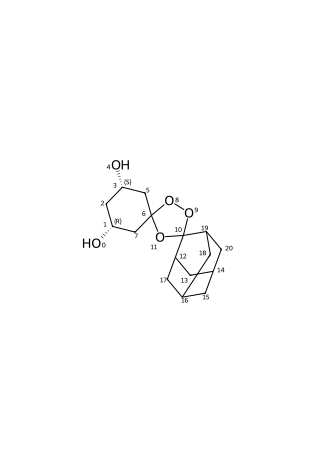 O[C@@H]1C[C@H](O)CC2(C1)OOC1(O2)C2CC3CC(C2)CC1C3